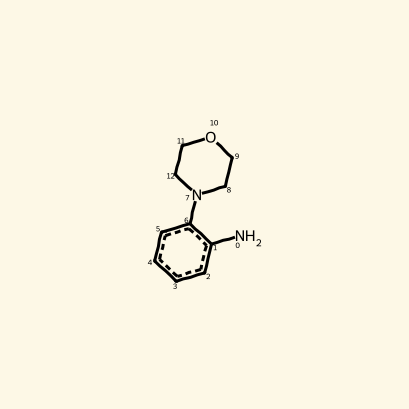 Nc1ccc[c]c1N1CCOCC1